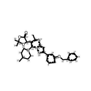 Cc1nc2cc(-c3cccc(OCc4ccccc4)c3)nn2c(N2CCC(C)CC2)c1C1OC(C)(C)OC1=O